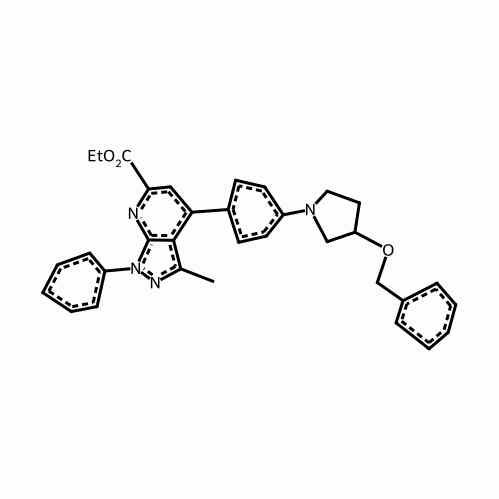 CCOC(=O)c1cc(-c2ccc(N3CCC(OCc4ccccc4)C3)cc2)c2c(C)nn(-c3ccccc3)c2n1